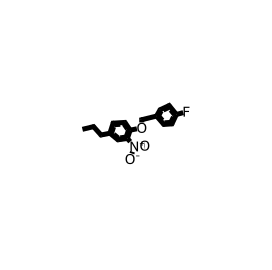 CCCc1ccc(OCc2ccc(F)cc2)c([N+](=O)[O-])c1